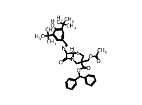 CC(=O)OCC1(C(=O)OC(c2ccccc2)c2ccccc2)CS[C@@H]2C(N=Cc3cc(C(C)(C)C)c(O)c(C(C)(C)C)c3)C(=O)N2C1